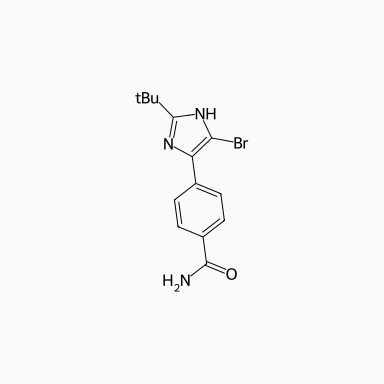 CC(C)(C)c1nc(-c2ccc(C(N)=O)cc2)c(Br)[nH]1